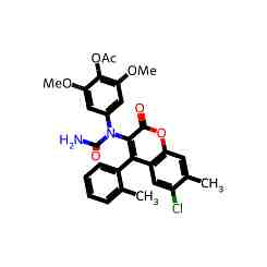 COc1cc(N(C(N)=O)c2c(-c3ccccc3C)c3cc(Cl)c(C)cc3oc2=O)cc(OC)c1OC(C)=O